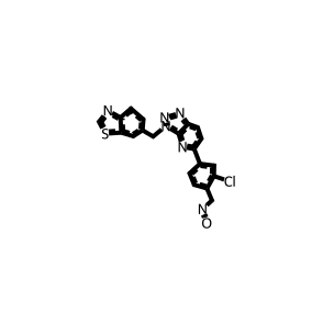 O=NCc1ccc(-c2ccc3nnn(Cc4ccc5ncsc5c4)c3n2)cc1Cl